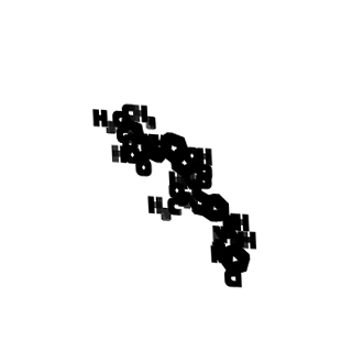 CC(=O)N1Cc2cc(NC(=NC#N)Nc3ccc(Cl)cc3)ccc2C1C(=O)NC(Cc1ccccc1CC(NC(=O)CC(C)(C)C)C(=O)O)C(=O)O